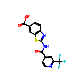 O=C(O)c1ccc2nc(NC(=O)c3ccnc(C(F)(F)F)c3)sc2c1